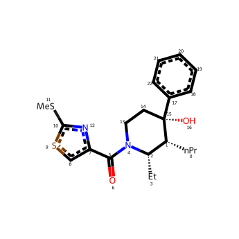 CCC[C@@H]1[C@H](CC)N(C(=O)c2csc(SC)n2)CC[C@@]1(O)c1ccccc1